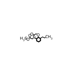 CCCc1cccc2c1OCC(=O)N2CC(=O)OC